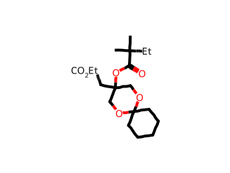 CCOC(=O)CC1(OC(=O)C(C)(C)CC)COC2(CCCCC2)OC1